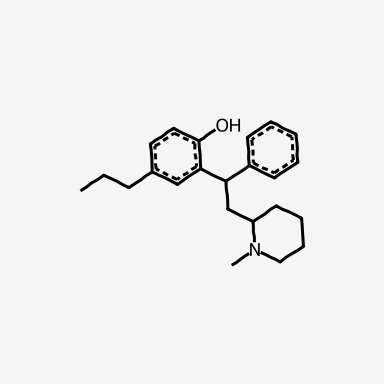 CCCc1ccc(O)c(C(CC2CCCCN2C)c2ccccc2)c1